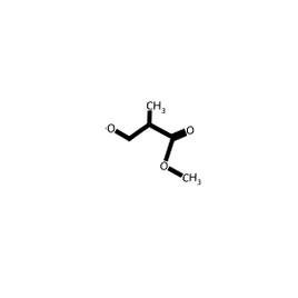 COC(=O)C(C)C[O]